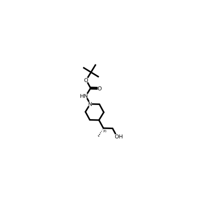 C[C@@H](CO)C1CCN(NC(=O)OC(C)(C)C)CC1